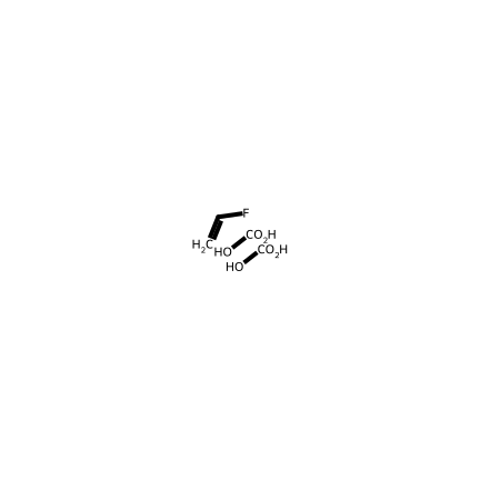 C=CF.O=C(O)O.O=C(O)O